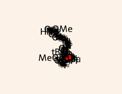 COCOc1cc(-c2ncc3c(N4CC5CCC(C4)N5C(=O)OC(C)(C)C)nc(OCC(CN4CCN(CC5CCC6(CC5)CCN(C(=O)c5ccc(OC)c(N7CCC(=O)NC7=O)c5)CC6)CC4)NC(=O)OC(C)(C)C)nc3c2F)c2c(C#C[Si](C(C)C)(C(C)C)C(C)C)c(F)ccc2c1